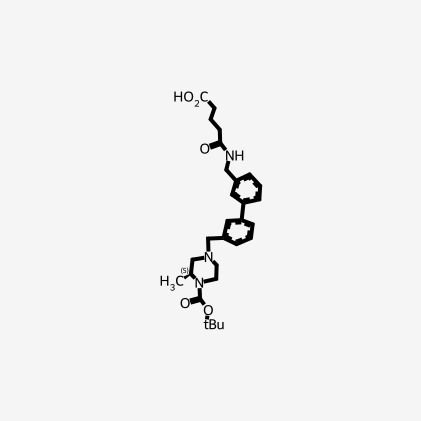 C[C@H]1CN(Cc2cccc(-c3cccc(CNC(=O)CCCC(=O)O)c3)c2)CCN1C(=O)OC(C)(C)C